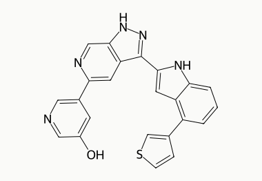 Oc1cncc(-c2cc3c(-c4cc5c(-c6ccsc6)cccc5[nH]4)n[nH]c3cn2)c1